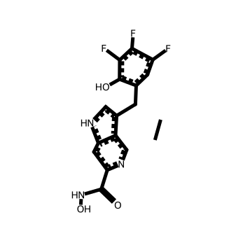 CC.O=C(NO)c1cc2[nH]cc(Cc3cc(F)c(F)c(F)c3O)c2cn1